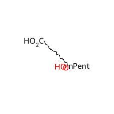 CCCCC[C@@H](C=CC=CCC=CCC=CCCCC(=O)O)OO